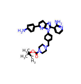 CC(C)(C)OC(=O)N1CCN(CC2=CC=C(n3c(-c4cccnc4N)nc4ccc(-c5ccc(N)cc5)nc43)CC2)CC1